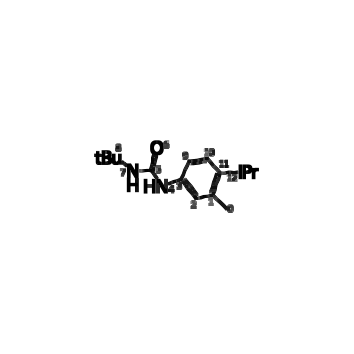 Cc1cc(NC(=O)NC(C)(C)C)ccc1C(C)C